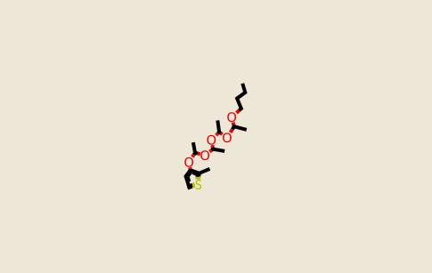 CCCCOC(C)OC(C)OC(C)OC(C)Oc1ccsc1C